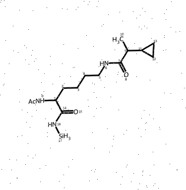 CC(=O)NC(CCCCNC(=O)C(C)C1CC1)C(=O)N[SiH3]